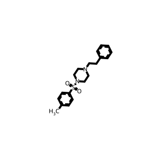 Cc1ccc(S(=O)(=O)N2CCN(CCc3ccccc3)CC2)cc1